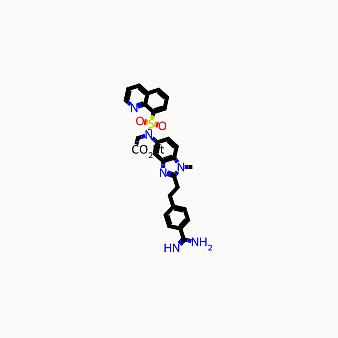 CCOC(=O)CN(c1ccc2c(c1)nc(CCc1ccc(C(=N)N)cc1)n2C)S(=O)(=O)c1cccc2cccnc12